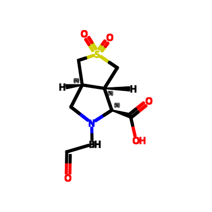 O=CBN1C[C@@H]2CS(=O)(=O)C[C@@H]2[C@H]1C(=O)O